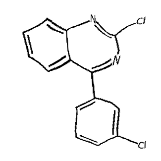 Clc1cccc(-c2nc(Cl)nc3ccccc23)c1